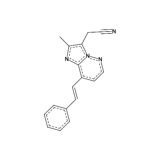 Cc1nc2c(/C=C/c3ccccc3)ccnn2c1CC#N